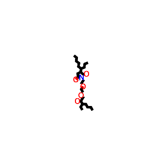 CCCCCC(CCC)C1CC(=O)N(CCOCCOCC(=O)C(CC)CCCC)C1=O